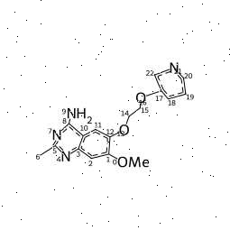 COc1cc2nc(C)nc(N)c2cc1OCCOc1cccnc1